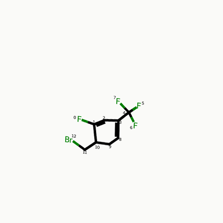 FC1=CC(C(F)(F)F)=CCC1CBr